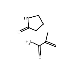 C=C(C)C(N)=O.O=C1CCCN1